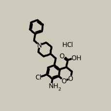 Cl.Nc1c(Cl)cc(CC2CCN(Cc3ccccc3)CC2)c2c1OOCC2C(=O)O